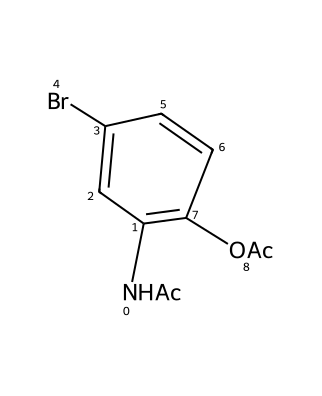 CC(=O)Nc1cc(Br)ccc1OC(C)=O